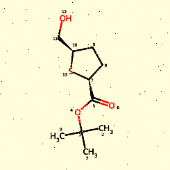 CC(C)(C)OC(=O)[C@@H]1CC[C@H](CO)S1